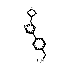 NCc1ccc(-c2cnn(C3COC3)c2)cc1